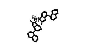 C[CH2][Hf]([CH]1C(C)=Cc2c(-c3cccc4ccccc34)cccc21)[CH]1C(C)=Cc2c(-c3cccc4ccccc34)cccc21